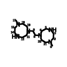 CN1CCNCCN(CCN2CCNCCN(C)CC2)CC1